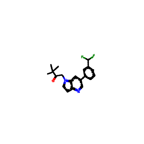 CC(C)(C)C(=O)Cn1ccc2ncc(-c3cccc(C(F)F)c3)cc21